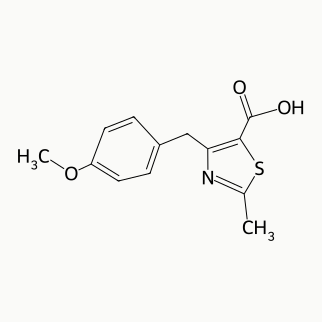 COc1ccc(Cc2nc(C)sc2C(=O)O)cc1